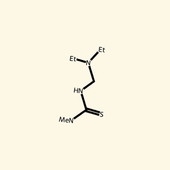 CCN(CC)CNC(=S)NC